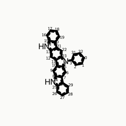 c1ccc(-n2c3cc4c(cc3c3cc5[nH]c6ccccc6c5cc32)[nH]c2ccccc24)cc1